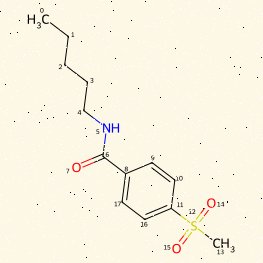 CCCCCNC(=O)c1ccc(S(C)(=O)=O)cc1